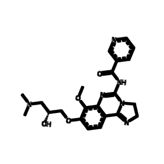 COc1c(OC[C@H](O)CN(C)C)ccc2c1N=C(NC(=O)c1cccnc1)N1CCN=C21